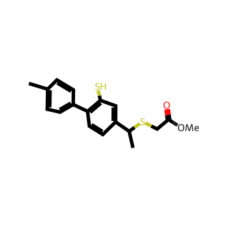 COC(=O)CSC(C)c1ccc(-c2ccc(C)cc2)c(S)c1